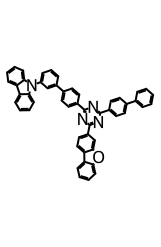 c1ccc(-c2ccc(-c3nc(-c4ccc(-c5cccc(-n6c7ccccc7c7ccccc76)c5)cc4)nc(-c4ccc5c(c4)oc4ccccc45)n3)cc2)cc1